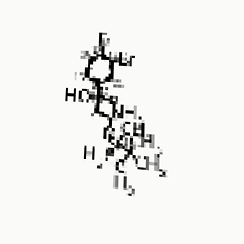 CC(C)(C)[Si](C)(C)OCC[C@](O)(CN)c1ccc(F)c(Br)c1